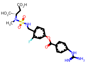 CN([C@@H](CC(=O)O)C(=O)O)S(=O)(=O)NCc1ccc(OC(=O)c2ccc(NC(=N)N)cc2)cc1F